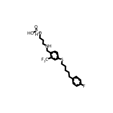 O=[PH](O)OCCCNCc1ccc(SCCCCCc2ccc(F)cc2)cc1C(F)(F)F